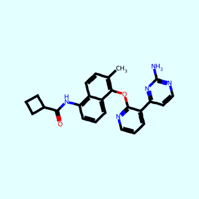 Cc1ccc2c(NC(=O)C3CCC3)cccc2c1Oc1ncccc1-c1ccnc(N)n1